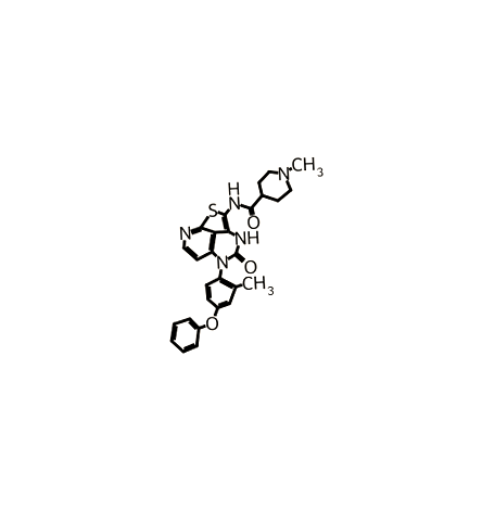 Cc1cc(Oc2ccccc2)ccc1N1C(=O)Nc2c(NC(=O)C3CCN(C)CC3)sc3nccc1c23